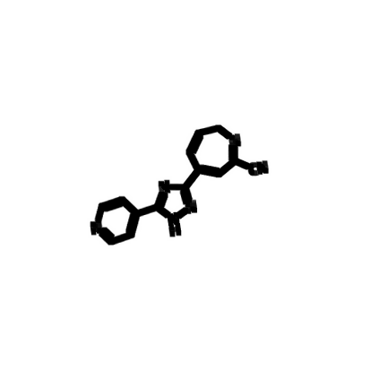 N#CC1=NCC=CC(c2n[nH]c(-c3ccncc3)n2)=C1